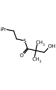 CC(C)CCSC(=O)C(C)(C)CO